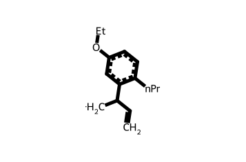 [CH2]C(C=C)c1cc(OCC)ccc1CCC